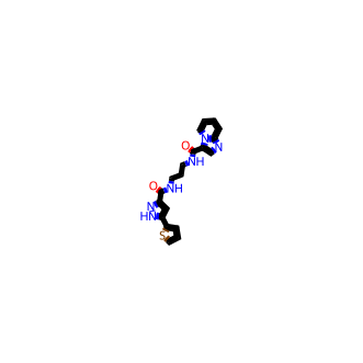 O=C(NCCCNC(=O)c1cnc2ccccn12)c1cc(-c2cccs2)[nH]n1